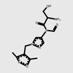 Cc1noc(C)c1Cn1cc(N(C=O)C(=O)C(N)CO)cn1